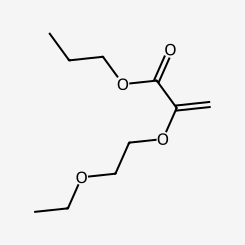 C=C(OCCOCC)C(=O)OCCC